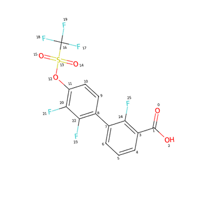 O=C(O)c1cccc(-c2ccc(OS(=O)(=O)C(F)(F)F)c(F)c2F)c1F